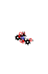 COc1cccc(C(=O)CN(C(=O)c2ccccc2)C(C(=O)O)C(C)C)c1